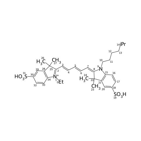 CC[N+]1=C(/C=C/C=C/C=C2/N(CCCCC(C)C)c3ccc(S(=O)(=O)O)cc3C2(C)C)C(C)(C)c2cc(S(=O)(=O)O)ccc21